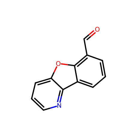 O=Cc1cccc2c1oc1cccnc12